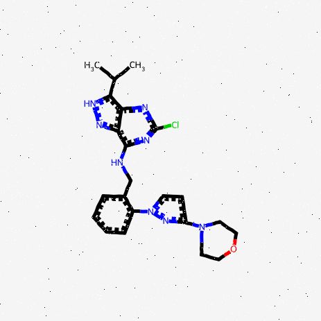 CC(C)c1[nH]nc2c(NCc3ccccc3-n3ccc(N4CCOCC4)n3)nc(Cl)nc12